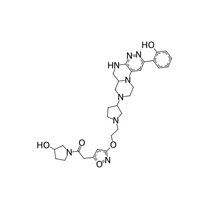 O=C(Cc1cc(OCCN2CCC(N3CCN4c5cc(-c6ccccc6O)nnc5NCC4C3)C2)no1)N1CCC(O)C1